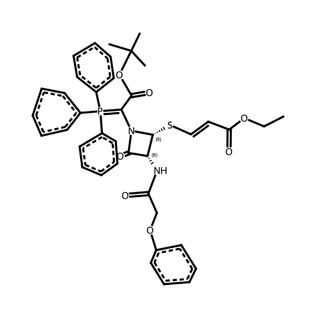 CCOC(=O)C=CS[C@@H]1[C@H](NC(=O)COc2ccccc2)C(=O)N1C(C(=O)OC(C)(C)C)=P(c1ccccc1)(c1ccccc1)c1ccccc1